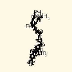 C=CC(=O)OCCOCC(CC)(COCCOC(=O)C=C)COCCOC(=O)CCN1CCN(C(=O)c2ccc(CC(CC)(C(=O)c3ccc(N4CCOCC4)cc3)N(C)C)cc2)CC1